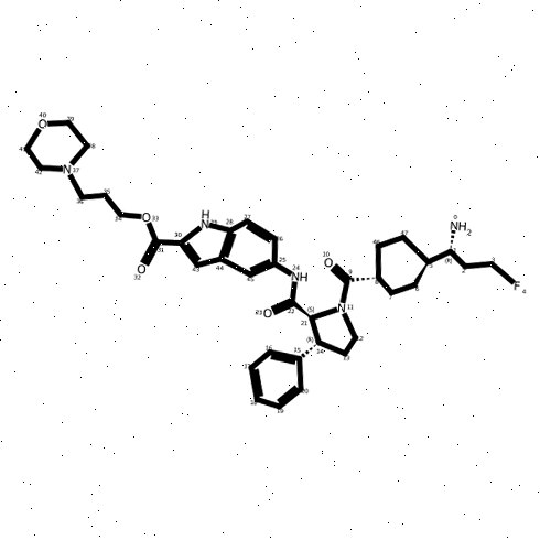 N[C@H](CCF)[C@H]1CC[C@H](C(=O)N2CC[C@H](c3ccccc3)[C@H]2C(=O)Nc2ccc3[nH]c(C(=O)OCCCN4CCOCC4)cc3c2)CC1